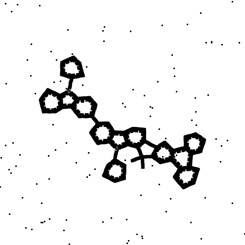 CC1(C)c2cc3c4ccccc4c4ccccc4c3cc2-c2ccc3c4cc(-c5ccc6c(c5)c5ccccc5n6-c5ccccc5)ccc4n(-c4ccccc4)c3c21